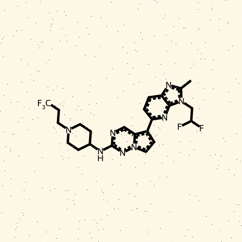 Cc1nc2ccc(-c3ccn4nc(NC5CCN(CCC(F)(F)F)CC5)ncc34)nc2n1CC(F)F